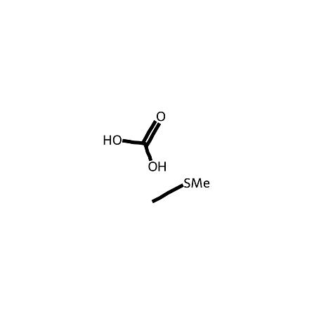 CSC.O=C(O)O